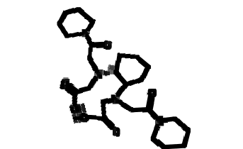 O=C(O)CN(CC(=O)N1CCCCC1)C1CCCC[C@H]1N(CC(=O)O)CC(=O)N1CCCCC1